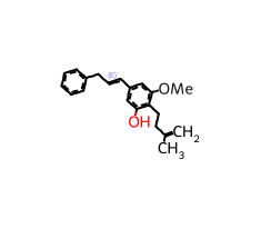 C=C(C)CCc1c(O)cc(/C=C/Cc2ccccc2)cc1OC